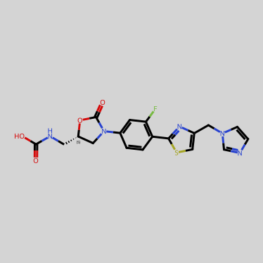 O=C(O)NC[C@H]1CN(c2ccc(-c3nc(Cn4ccnc4)cs3)c(F)c2)C(=O)O1